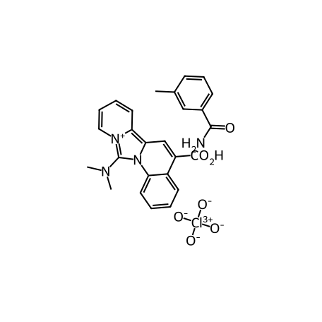 CN(C)c1n2c3ccccc3c(C(=O)O)cc2c2cccc[n+]12.Cc1cccc(C(N)=O)c1.[O-][Cl+3]([O-])([O-])[O-]